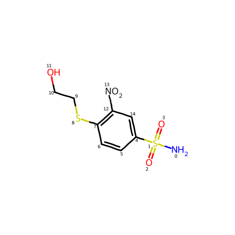 NS(=O)(=O)c1ccc(SCCO)c([N+](=O)[O-])c1